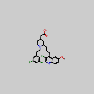 COc1ccc2ncc(Cl)c(CCCC3CC(CC(=O)O)CCN3CCc3cc(F)cc(F)c3)c2c1